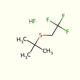 CC(C)(C)SCC(F)(F)F.F